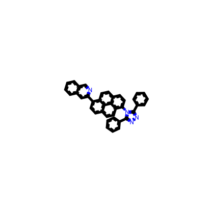 c1ccc(-c2nnc(-c3ccccc3)n2-c2ccc3ccc4c(-c5cc6ccccc6cn5)ccc5ccc2c3c54)cc1